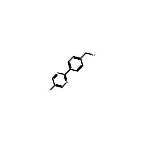 OCc1ccc(-c2ncc(F)cn2)cc1